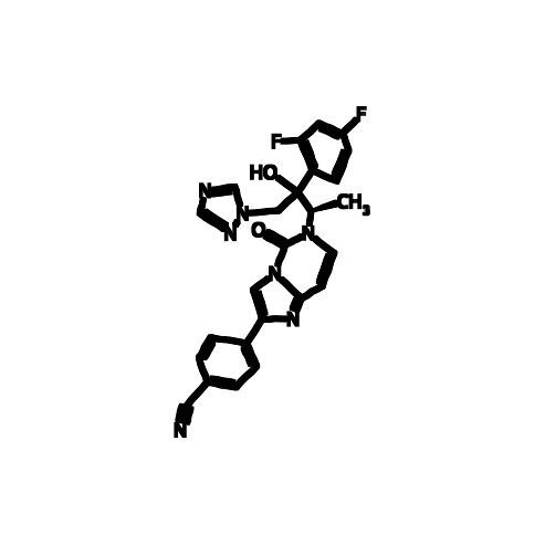 C[C@@H](n1ccc2nc(-c3ccc(C#N)cc3)cn2c1=O)C(O)(Cn1cncn1)c1ccc(F)cc1F